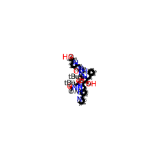 COC(=O)NC(C(=O)NC(Cc1ccc(-c2ccccn2)cc1)CC(O)C(Cc1ccccc1)NC(=O)C(N1CCN(Cc2cccc(C(C)(C)O)n2)C1=O)C(C)(C)C)C(C)(C)C